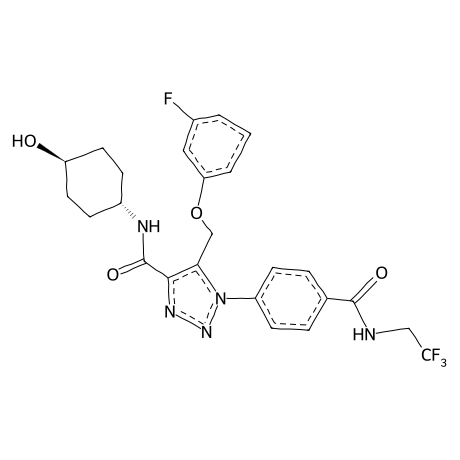 O=C(NCC(F)(F)F)c1ccc(-n2nnc(C(=O)N[C@H]3CC[C@H](O)CC3)c2COc2cccc(F)c2)cc1